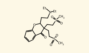 CCN(CC)CCC1Oc2ccccc2C(=O)C1(CCS(C)(=O)=O)CCS(C)(=O)=O